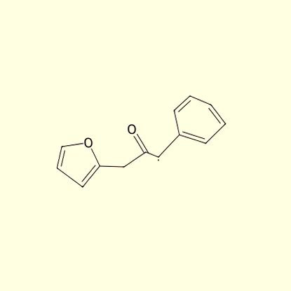 O=C([CH]c1ccccc1)Cc1ccco1